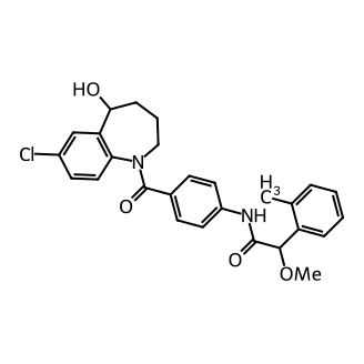 COC(C(=O)Nc1ccc(C(=O)N2CCCC(O)c3cc(Cl)ccc32)cc1)c1ccccc1C